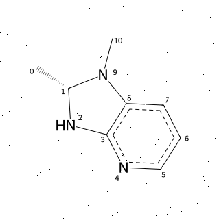 C[C@H]1Nc2ncccc2N1C